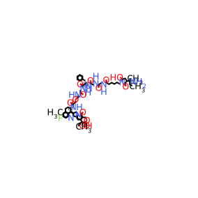 CCC(C)(N)C1CC(O)N(CCCCCC(=O)NCC(=O)NCC(=O)N[C@@H](Cc2ccccc2)C(=O)NCC(=O)NCOCC(=O)N[C@H]2CCc3c(C)c(F)cc4nc5c(c2c34)Cn2c-5cc3c(c2=O)COC(=O)[C@]3(O)CC)C1=O